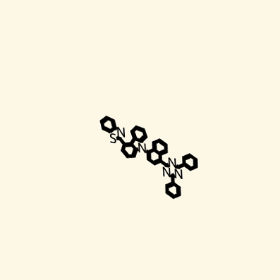 c1ccc(-c2nc(-c3ccccc3)nc(-c3ccc(-n4c5ccccc5c5c(-c6nc7ccccc7s6)cccc54)c4ccccc34)n2)cc1